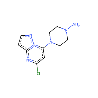 NN1CCN(c2cc(Cl)nc3ccnn23)CC1